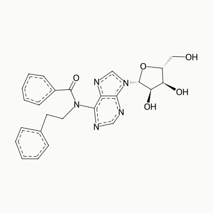 O=C(c1ccccc1)N(CCc1ccccc1)c1ncnc2c1ncn2[C@@H]1O[C@H](CO)[C@@H](O)[C@H]1O